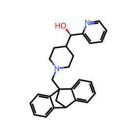 O[C@@H](c1ccccn1)C1CCN(CC23CC(c4ccccc42)c2ccccc23)CC1